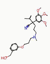 COc1cc(C(C#N)(CCCN(C)CCCOc2cccc(CO)c2)C(C)C)cc(OC)c1OC